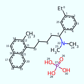 CCc1cccc(C(CCCCc2c(C)ccc3ccccc23)N(C)C)c1.O=P(O)(O)O